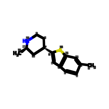 Cc1ccc2cc([C@H]3CCN[C@H](C)C3)sc2c1